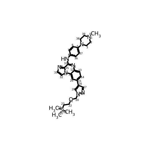 CN1CCN(c2ccc(Nc3nc4ccc(-c5cnn(COCC[Si](C)(C)C)c5)cc4n4ccnc34)cc2)CC1